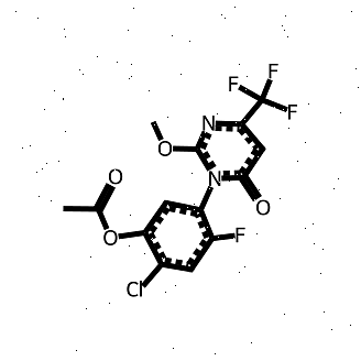 COc1nc(C(F)(F)F)cc(=O)n1-c1cc(OC(C)=O)c(Cl)cc1F